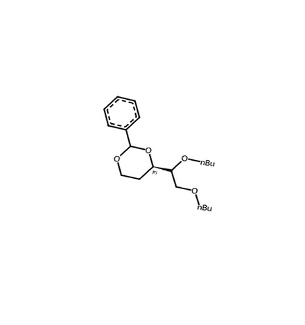 CCCCOCC(OCCCC)[C@H]1CCOC(c2ccccc2)O1